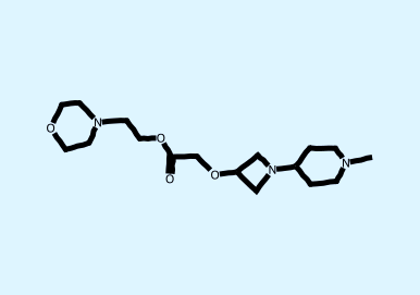 CN1CCC(N2CC(OCC(=O)OCCN3CCOCC3)C2)CC1